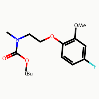 COc1cc(F)ccc1OCCN(C)C(=O)OC(C)(C)C